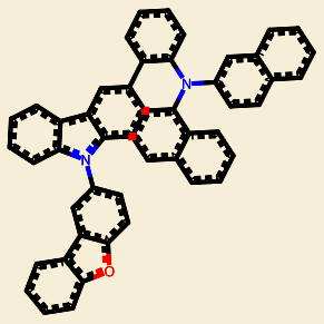 c1ccc(N(c2ccc3ccccc3c2)c2cccc3ccccc23)c(-c2ccc3c(c2)c2ccccc2n3-c2ccc3oc4ccccc4c3c2)c1